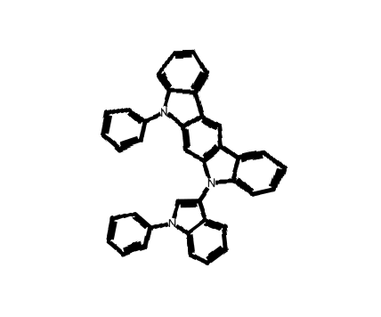 c1ccc(-n2cc(-n3c4ccccc4c4cc5c6ccccc6n(-c6ccccc6)c5cc43)c3ccccc32)cc1